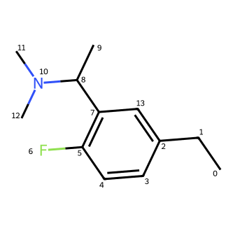 CCc1ccc(F)c(C(C)N(C)C)c1